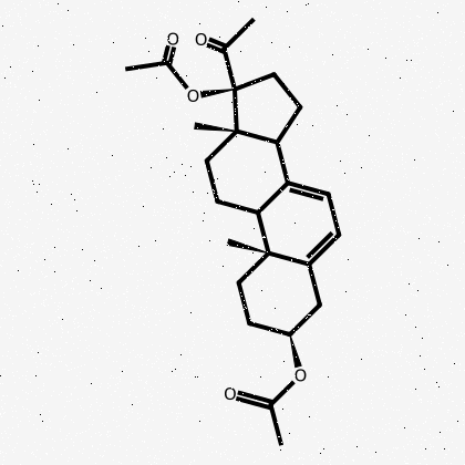 CC(=O)O[C@H]1CC[C@@]2(C)C(=CC=C3C2CC[C@@]2(C)C3CC[C@@]2(OC(C)=O)C(C)=O)C1